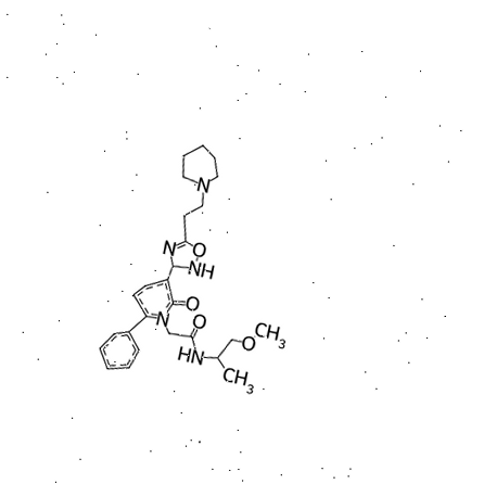 COCC(C)NC(=O)Cn1c(-c2ccccc2)ccc(C2N=C(CCN3CCCCC3)ON2)c1=O